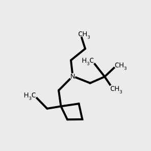 CCCN(CC(C)(C)C)CC1(CC)CCC1